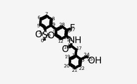 CS(=O)(=O)c1ccccc1-c1ccc(NC(=O)Cc2ccccc2CO)c(F)c1